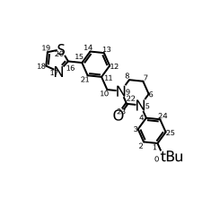 CC(C)(C)c1ccc(N2CCCN(Cc3cccc(-c4nccs4)c3)C2=O)cc1